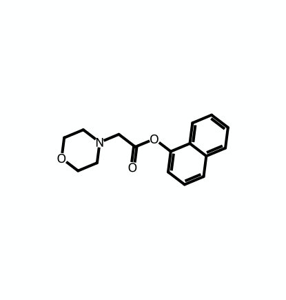 O=C(CN1CCOCC1)Oc1cccc2ccccc12